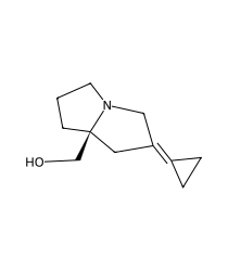 OC[C@@]12CCCN1CC(=C1CC1)C2